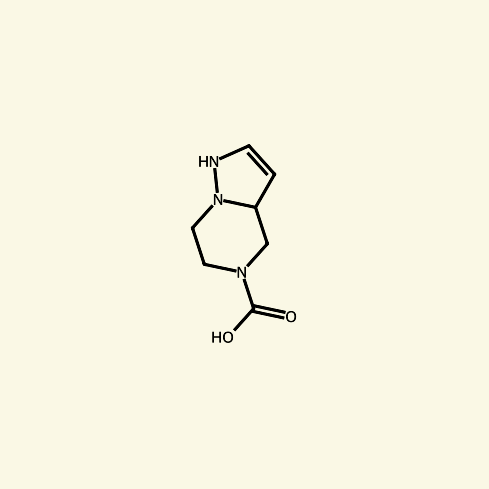 O=C(O)N1CCN2NC=CC2C1